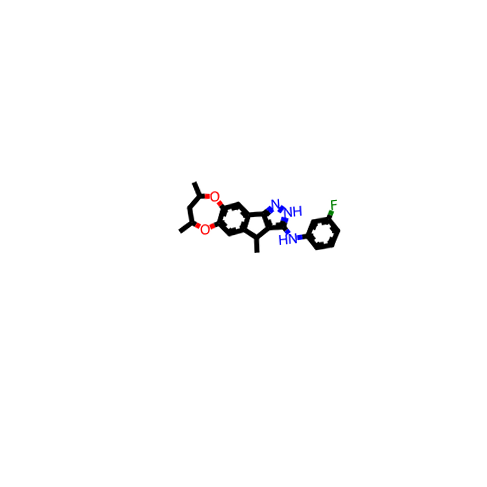 CC1CC(C)Oc2cc3c(cc2O1)-c1n[nH]c(Nc2cccc(F)c2)c1C3C